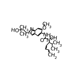 C=C/C=C\C(C(C)C)=[N+](\O)C(=O)Nc1cc2cn(CCC(C)(C)O)nc2cc1OC